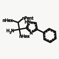 CCCCCCC(CCCCC)C(N)(CCCCCC)c1nc(-c2ccccc2)c[nH]1